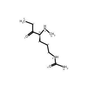 CCC(=O)[C@H](CCCNC(N)=O)NC